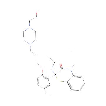 COc1ccc(OCCCN2CCN(CCO)CC2)c(C2(NCC(C)=O)Sc3ccccc3N(C)C2=O)c1.Cl.Cl